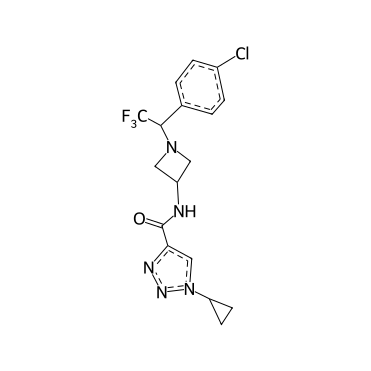 O=C(NC1CN(C(c2ccc(Cl)cc2)C(F)(F)F)C1)c1cn(C2CC2)nn1